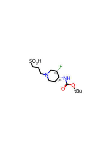 CC(C)(C)OC(=O)N[C@@H]1CCN(CCCS(=O)(=O)O)C[C@@H]1F